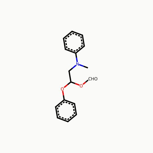 CN(CC(OC=O)Oc1ccccc1)c1ccccc1